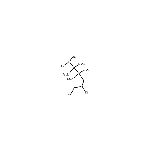 CCC(C)N(CC)C(NC)(NC)[Si](CN(CC)CC(C)C)(NC)NC